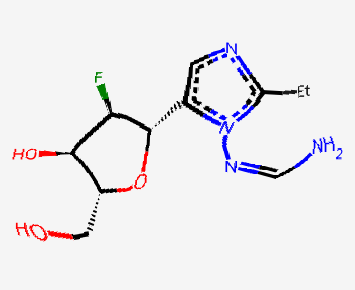 CCc1ncc([C@@H]2O[C@H](CO)[C@@H](O)[C@H]2F)n1/N=C\N